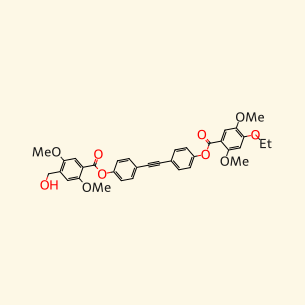 CCOc1cc(OC)c(C(=O)Oc2ccc(C#Cc3ccc(OC(=O)c4cc(OC)c(CO)cc4OC)cc3)cc2)cc1OC